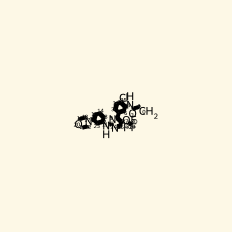 C=CC(=O)Nc1cc(-c2nc(Nc3cccc(N4CCOCC4)c3)ncc2OC(F)(F)F)ccc1Cl